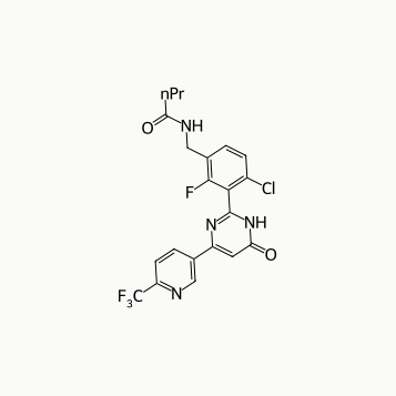 CCCC(=O)NCc1ccc(Cl)c(-c2nc(-c3ccc(C(F)(F)F)nc3)cc(=O)[nH]2)c1F